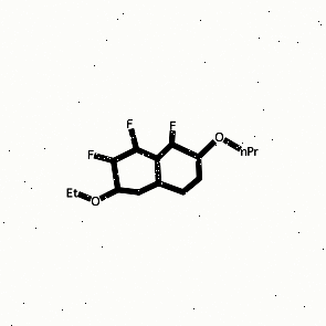 CCCOC1CCC2CC(OCC)C(F)C(F)C2C1F